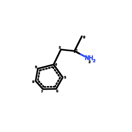 C[C](N)Cc1ccccc1